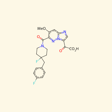 COc1cc2ncc(C(=O)C(=O)O)n2nc1C(=O)N1CCC(F)(Cc2ccc(F)cc2)CC1